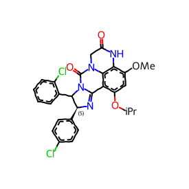 COc1cc(OC(C)C)c2c3c1NC(=O)CN3C(=O)N1C2=N[C@@H](c2ccc(Cl)cc2)C1c1ccccc1Cl